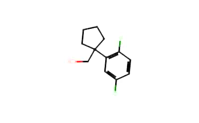 OCC1(c2cc(Cl)ccc2Cl)CCCC1